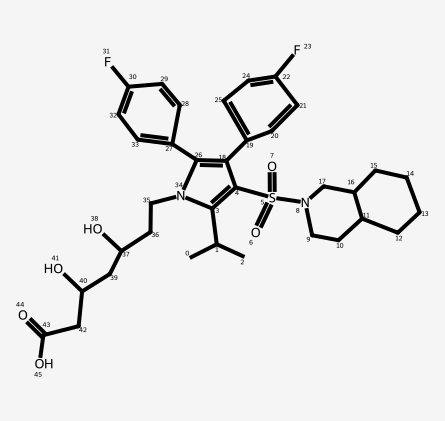 CC(C)c1c(S(=O)(=O)N2CCC3CCCCC3C2)c(-c2ccc(F)cc2)c(-c2ccc(F)cc2)n1CCC(O)CC(O)CC(=O)O